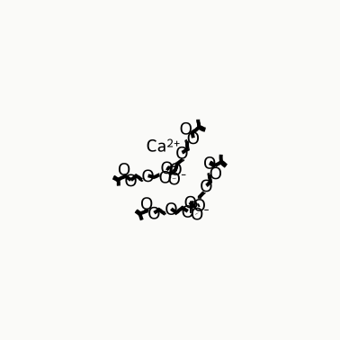 C=C(C)C(=O)OCCOCCOP(=O)([O-])OCCOCCOC(=O)C(=C)C.C=C(C)C(=O)OCCOCCOP(=O)([O-])OCCOCCOC(=O)C(=C)C.[Ca+2]